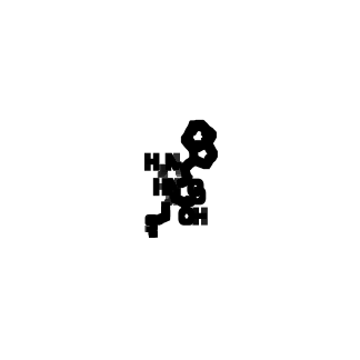 CSCC[C@H](NC(=O)[C@H](N)C1CCc2ccccc21)C(=O)O